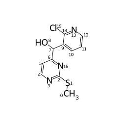 CSc1nccc(C(O)c2cccnc2Cl)n1